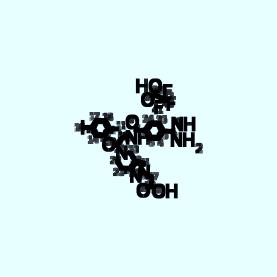 N=C(N)c1ccc(C(=O)N[C@@H](Cc2ccc(I)cc2)C(=O)N2CCc3nn(CC(=O)O)cc3C2)cc1.O=C(O)C(F)(F)F